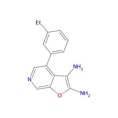 CCc1cccc(-c2cncc3oc(N)c(N)c23)c1